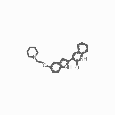 O=c1[nH]c2ccccc2cc1-c1cc2cc(OCCN3CCCCC3)ccc2[nH]1